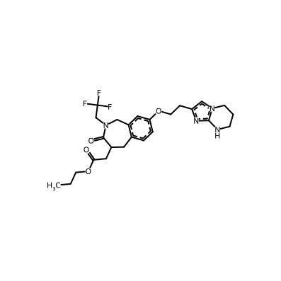 CCCOC(=O)CC1Cc2ccc(OCCc3cn4c(n3)NCCC4)cc2CN(CC(F)(F)F)C1=O